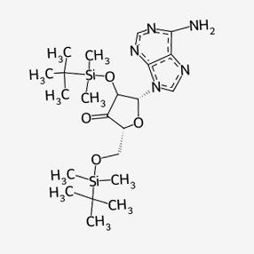 CC(C)(C)[Si](C)(C)OC[C@H]1O[C@@H](n2cnc3c(N)ncnc32)C(O[Si](C)(C)C(C)(C)C)C1=O